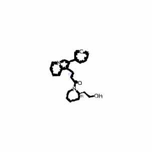 O=C(/C=C/c1c(-c2ccccc2)cn2ccccc12)N1CCCC[C@@H]1CCO